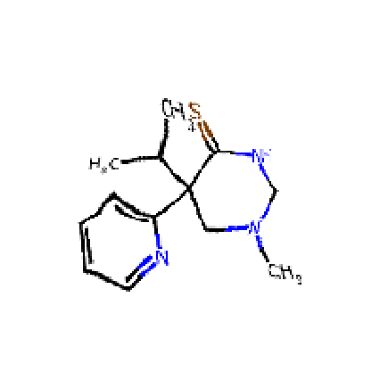 CC(C)C1(c2ccccn2)CN(C)CNC1=S